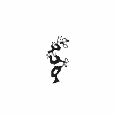 COC(=O)Nc1ccc(-c2cnc3ccc(C(=O)N(C)c4cccc(C5CC5)c4)cn23)cn1